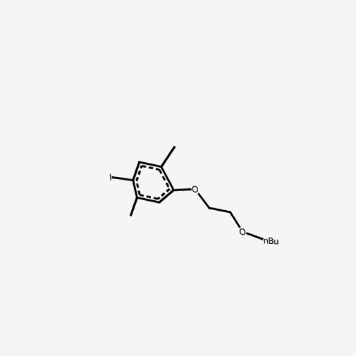 CCCCOCCOc1cc(C)c(I)cc1C